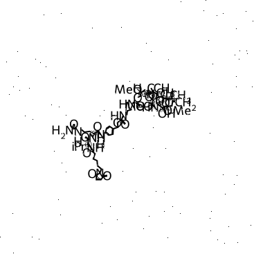 C=C1C[C@](OC)([C@H](O)C(=O)N[C@@H](OC)[C@@H]2C[C@@H](O)C(C)(C)[C@@H](C[C@@H](COC(=O)NCCCNC(=O)OCc3ccc(NC(=O)[C@H](CCCNC(N)=O)NC(=O)[C@@H](NC(=O)CCCCCN4C(=O)C=CC4=O)C(C)C)cc3)OC)O2)O[C@H](C)[C@@H]1C